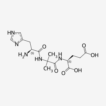 CC(C)(NC(=O)[C@@H](N)Cc1c[nH]cn1)C(=O)N[C@@H](CCC(=O)O)C(=O)O